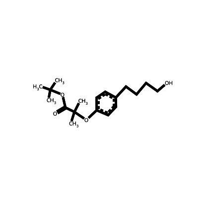 CC(C)(C)OC(=O)C(C)(C)Oc1ccc(CCCCO)cc1